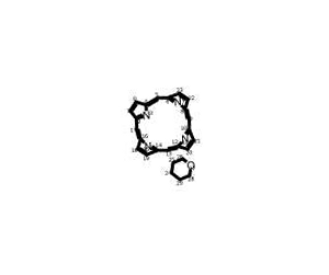 C1=CC2=NC1=CC1=NC(=CC3=NC(=CC4=NC(=C2)C=C4)C=C3)C=C1.C1CCOCC1